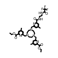 CCOC(=O)c1cc(C)cc(CN2CCN(Cc3cc(C)cc(C(=O)NCCNC(=O)C(F)(F)F)n3)CCN(Cc3cc(C)cc(C(=O)OCC)n3)CC2)n1